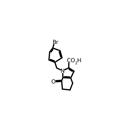 O=C(O)c1cc2c(n1Cc1ccc(Br)cc1)C(=O)CCC2